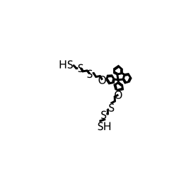 SCCSCCSCCCOc1ccc(C2(c3ccc(OCCCSCCSCCS)cc3)c3ccccc3-c3ccccc32)cc1